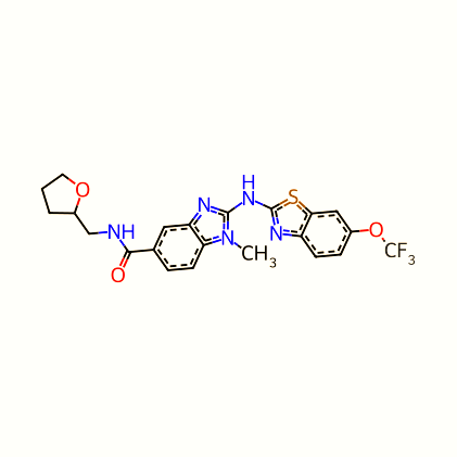 Cn1c(Nc2nc3ccc(OC(F)(F)F)cc3s2)nc2cc(C(=O)NCC3CCCO3)ccc21